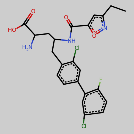 CCc1cc(C(=O)NC(Cc2ccc(-c3cc(Cl)ccc3F)cc2Cl)CC(N)C(=O)O)on1